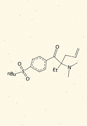 C=CCC(CC)(C(=O)c1ccc(S(=O)(=O)CCCC)cc1)N(C)C